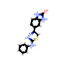 O=c1[nH]c2ccc(C3=NN=C(Nc4ccccc4)SC3)cc2[nH]1